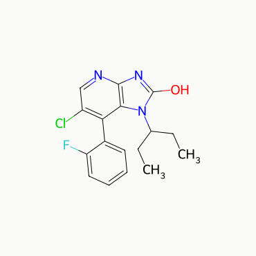 CCC(CC)n1c(O)nc2ncc(Cl)c(-c3ccccc3F)c21